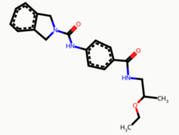 CCOC(C)CNC(=O)c1ccc(NC(=O)N2Cc3ccccc3C2)cc1